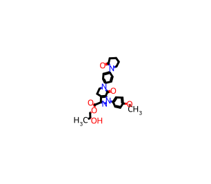 COc1ccc(-n2nc(C(=O)OCC(C)O)c3c2C(=O)N(c2ccc(N4CCCCC4=O)cc2)CC3)cc1